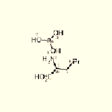 CC(C)C[C@H](N)C(=O)O.OB(O)O